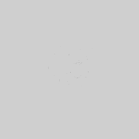 CC(C)(C)c1ccc(-c2cc3ccc2c2ccc(cc2)o[pH]o[pH]o3)c(C(C)(C)C)c1